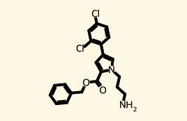 NCCCn1cc(-c2ccc(Cl)cc2Cl)cc1C(=O)OCc1ccccc1